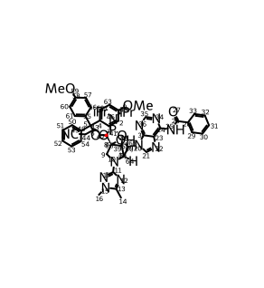 COc1ccc(C(OC[C@@]23CN(c4nc(C)n(C)n4)[C@@H]([C@H](n4cnc5c(NC(=O)c6ccccc6)ncnc54)O2)[C@@H]3OP(OCCC#N)N(C(C)C)C(C)C)(c2ccccc2)c2ccc(OC)cc2)cc1